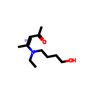 CCN(CCCCO)/C(C)=C\C(C)=O